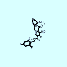 N[C@]12CC(C3CC31)C1Cn3cc(C(=O)NCc4c(F)cc(F)cc4F)c(=O)c(N=O)c3C(=O)N12